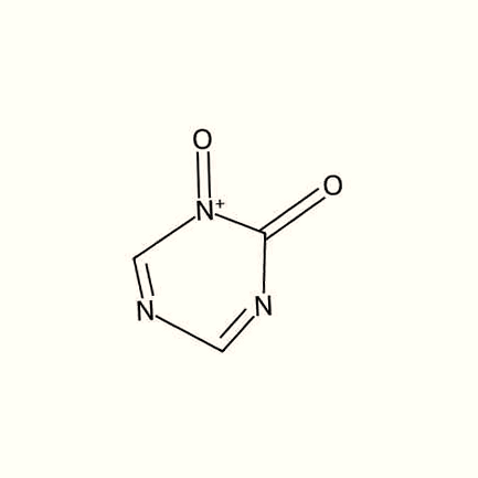 O=C1N=CN=C[N+]1=O